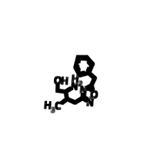 CC(Cc1noc(Cc2ccccc2)n1)C(N)CO